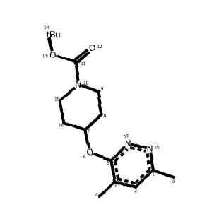 Cc1cc(C)c(OC2CCN(C(=O)OC(C)(C)C)CC2)nn1